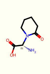 N[C@H](C(=O)O)N1CCCCC1=O